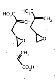 C=C(CC1CO1)C(=O)O.C=C(CC1CO1)C(=O)O.C=CC(=O)O